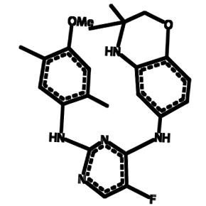 COc1cc(C)c(Nc2ncc(F)c(Nc3ccc4c(c3)NC(C)(C)CO4)n2)cc1C